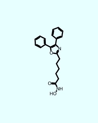 O=C(CCCCCc1nc(-c2ccccc2)c(-c2ccccc2)o1)NO